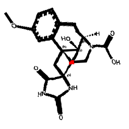 COc1ccc2c(c1)[C@]13CCN(C(=O)O)[C@H](C2)[C@]1(O)CC[C@@]1(C3)NC(=O)NC1=O